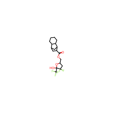 O=C(OCC1CC(F)(F)C(O)(C(F)(F)F)O1)C1CC2CC1C1CCCCC21